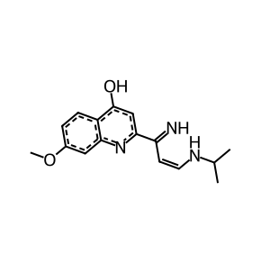 COc1ccc2c(O)cc(C(=N)/C=C\NC(C)C)nc2c1